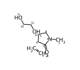 C=C.CN1CCCC1=O.OCCO